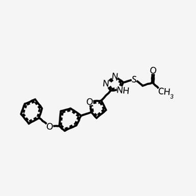 CC(=O)CSc1nnc(-c2ccc(-c3ccc(Oc4ccccc4)cc3)o2)[nH]1